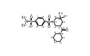 CCN(CC)S(=O)(=O)c1ccc(S(=O)(=O)N2C[C@H](C(=O)N3CCOCC3)CC(F)(F)C2)cc1